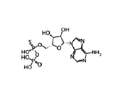 Nc1ncnc2c1ncn2[C@@H]1O[C@H](CO[P@@](O)(=S)OP(=O)(O)O)[C@@H](O)C1O